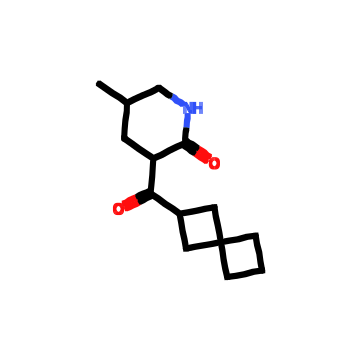 CC1CNC(=O)C(C(=O)C2CC3(CCC3)C2)C1